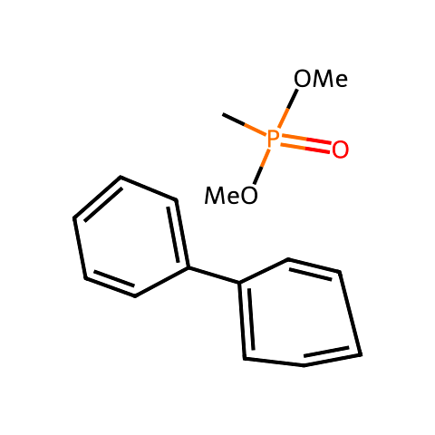 COP(C)(=O)OC.c1ccc(-c2ccccc2)cc1